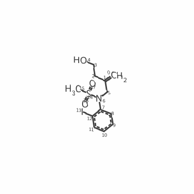 C=C(CCO)CN(c1ccccc1I)S(C)(=O)=O